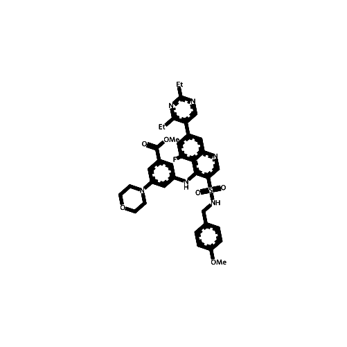 CCc1ncc(-c2cc(F)c3c(Nc4cc(C(=O)OC)cc(N5CCOCC5)c4)c(S(=O)(=O)NCc4ccc(OC)cc4)cnc3c2)c(CC)n1